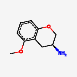 COc1cccc2c1C[C@H](N)CO2